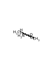 CCOC(=O)/C=C/CC/C(N)=C/PCC